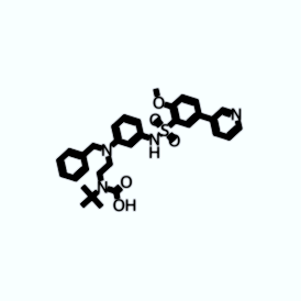 COc1ccc(-c2cccnc2)cc1S(=O)(=O)Nc1cccc(N(CCN(C(=O)O)C(C)(C)C)Cc2ccccc2)c1